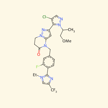 CCn1cc(C(F)(F)F)nc1-c1ccc(CN2C(=O)CCn3nc(-c4c(Cl)cnn4C(C)COC)cc32)cc1F